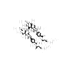 CN1c2c(nc(N)[nH]c2=O)NCC1CNc1ccc(C(=O)NC(CCC(=O)[O-])C(=O)O)cc1.CN1c2c(nc(N)[nH]c2=O)NCC1CNc1ccc(C(=O)NC(CCC(=O)[O-])C(=O)O)cc1.[Mg+2]